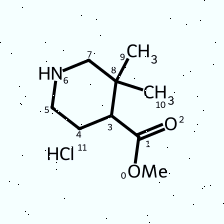 COC(=O)C1CCNCC1(C)C.Cl